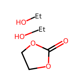 CCO.CCO.O=C1OCCO1